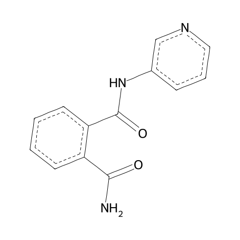 NC(=O)c1ccccc1C(=O)Nc1cccnc1